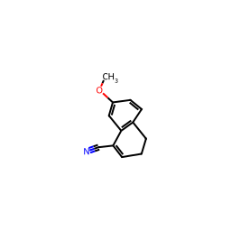 COc1ccc2c(c1)C(C#N)=CCC2